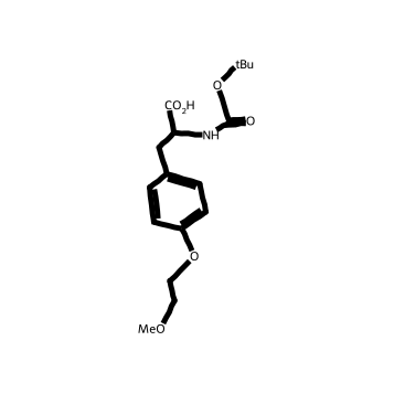 COCCOc1ccc(CC(NC(=O)OC(C)(C)C)C(=O)O)cc1